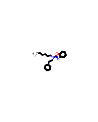 CCCCCCN(CCc1ccccc1)c1nc2ccccc2o1